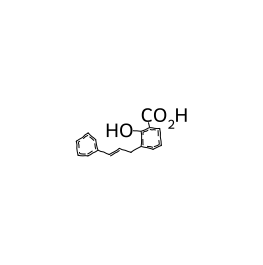 O=C(O)c1cccc(C/C=C/c2ccccc2)c1O